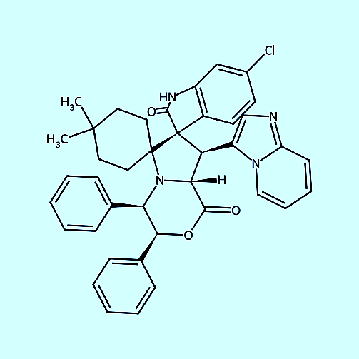 CC1(C)CCC2(CC1)N1[C@H](c3ccccc3)[C@H](c3ccccc3)OC(=O)[C@H]1[C@H](c1cnc3ccccn13)[C@@]21C(=O)Nc2cc(Cl)ccc21